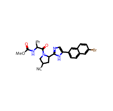 COC(=O)NC(C(=O)N1CC(C#N)CC1c1ncc(-c2ccc3cc(Br)ccc3c2)[nH]1)C(C)C